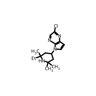 CCC1(C)CC(n2ccc3nc(Cl)cnc32)CC(C)(C)N1